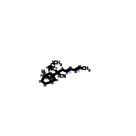 C=C=C[C@@H]1C(C(C#N)(C#N)C/C=C/C=C/C)=CC2CC[C@@H]1N2